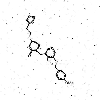 COc1ccc(COc2cccc(Cn3ccc(OCCc4cccs4)cc3=O)c2C)cc1